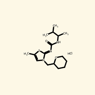 Cc1cn(CC2CCCCO2)c(=NC(=O)NC(C)C(C)C)s1.Cl